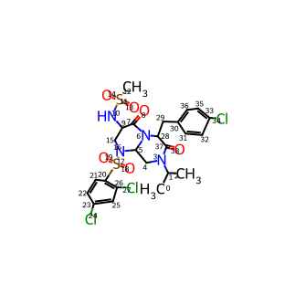 CC(C)N1CC2N(C(=O)C(NS(C)(=O)=O)CN2S(=O)(=O)c2ccc(Cl)cc2Cl)C(Cc2ccc(Cl)cc2)C1=O